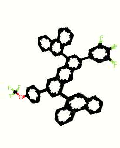 Fc1cc(-c2cc(-c3cc4ccccc4c4ccccc34)c3cc4cc(-c5ccc(OC(F)(F)F)cc5)cc(-c5cc6ccccc6c6ccccc56)c4cc3c2)cc(F)c1F